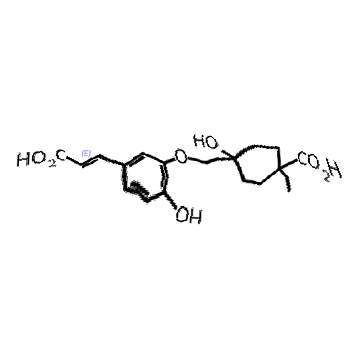 CC1(C(=O)O)CCC(O)(COc2cc(/C=C/C(=O)O)ccc2O)CC1